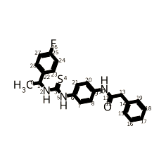 CC(NC(=S)Nc1ccc(NC(=O)Cc2ccccc2)cc1)c1ccc(F)cc1